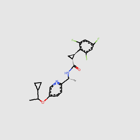 CC(Oc1ccc([C@@H](C)NC(=O)[C@@H]2C[C@H]2c2c(F)cc(F)cc2F)nc1)C1CC1